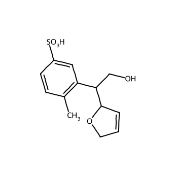 Cc1ccc(S(=O)(=O)O)cc1C(CO)C1C=CCO1